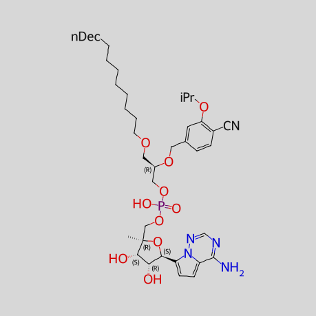 CCCCCCCCCCCCCCCCCCOC[C@H](COP(=O)(O)OC[C@@]1(C)O[C@@H](c2ccc3c(N)ncnn23)[C@H](O)[C@@H]1O)OCc1ccc(C#N)c(OC(C)C)c1